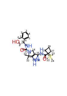 Cc1ccccc1[C@@H](CO)NC(=O)N1Cc2c(NC(=O)C3(S(C)(C)C)CCC3)n[nH]c2C1(C)C